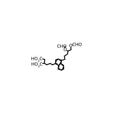 O=COCC(CCCc1ccc(CCCC(CC(=O)O)C(=O)O)c2ccccc12)OC=O